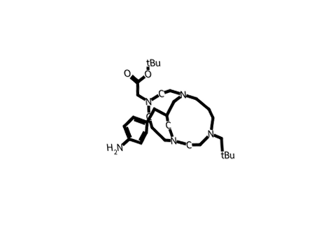 CC(C)(C)CN1CCCN2CCN(CC(=O)OC(C)(C)C)CCCN(CC1)CC(Cc1ccc(N)cc1)C2